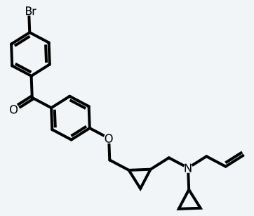 C=CCN(CC1CC1COc1ccc(C(=O)c2ccc(Br)cc2)cc1)C1CC1